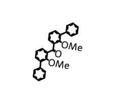 COc1c(C(=O)c2cccc(-c3ccccc3)c2OC)cccc1-c1ccccc1